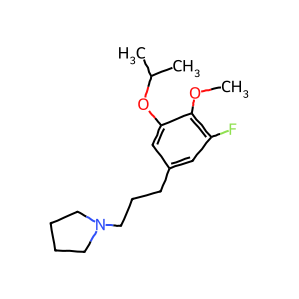 COc1c(F)cc(CCCN2CCCC2)cc1OC(C)C